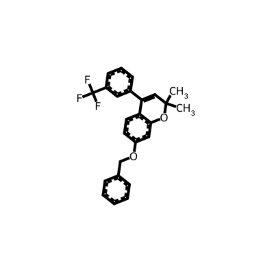 CC1(C)C=C(c2cccc(C(F)(F)F)c2)c2ccc(OCc3ccccc3)cc2O1